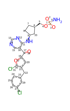 NS(=O)(=O)OC[C@@H]1CC[C@H](Nc2ncncc2C(=O)c2cc(Cc3cccc(Cl)c3)c(Cl)o2)C1